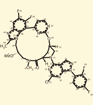 CO[C@H]1CN(C)C(=O)[C@@H]2C[C@@H](CN2c2nc(Cl)nc3c2cnn3-c2ccc(F)cc2F)Oc2nccc(n2)-c2c(F)c(F)cc3nc(C)n(c23)C1